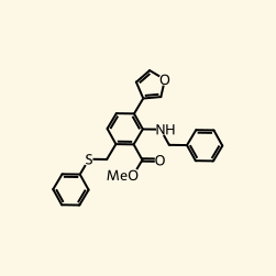 COC(=O)c1c(CSc2ccccc2)ccc(-c2ccoc2)c1NCc1ccccc1